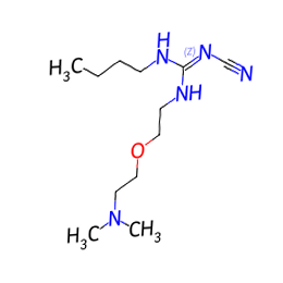 CCCCN/C(=N/C#N)NCCOCCN(C)C